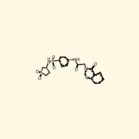 O=C(Cn1cnc2ccccc2c1=O)Nc1ccc(S(=O)(=O)NC2CCS(=O)(=O)C2)cc1